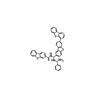 C=C(NC(NC(N)c1ccccc1)c1ccc2sc3cc(-c4cccc5c4sc4ccccc45)ccc3c2c1)c1ccc2c(c1)sc1ccccc12